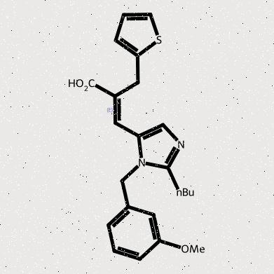 CCCCc1ncc(/C=C(\Cc2cccs2)C(=O)O)n1Cc1cccc(OC)c1